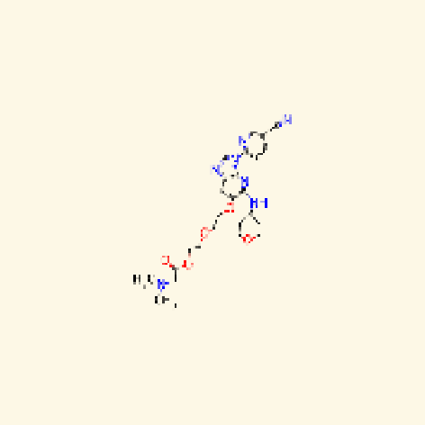 CN(C)CC(=O)OCCOCCOc1cc2ncn(-c3ccc(C#N)cn3)c2nc1NC1CCOCC1